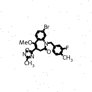 COC1=C(c2nc(C)no2)CC(=O)N(Cc2ccc(C)c(F)c2)c2cc(Br)ccc21